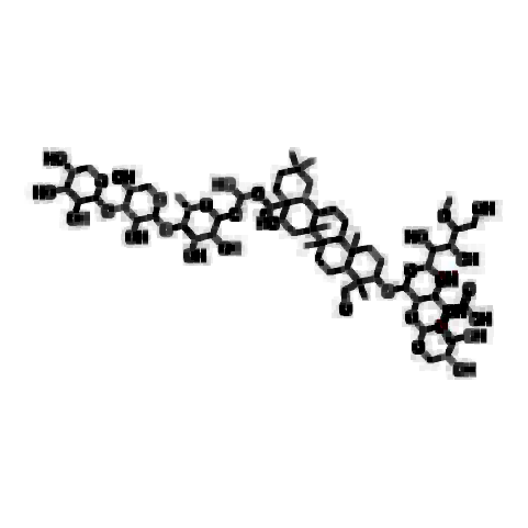 COC(CO)C(O)C(O)C(O)OC(OC1CCC2(C)C(CCC3(C)C2CC=C2C4CC(C)(C)CCC4(C(=O)OC(O)OC4OC(C)C(OC5OCC(O)C(OC6OCC(O)C(O)C6O)C5O)C(O)C4O)C(O)CC23C)C1(C)C=O)C(OC1OCC(O)C(O)C1O)C(O)C(OC)C(=O)O